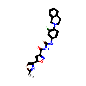 Cc1nc(-c2cc(C(=O)NC(=S)Nc3ccc(N4CCc5ccccc5C4)c(F)c3)no2)cs1